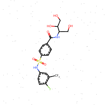 O=C(NC(CO)C(O)CO)c1ccc(S(=O)(=O)Nc2ccc(F)c(C(F)(F)F)c2)cc1